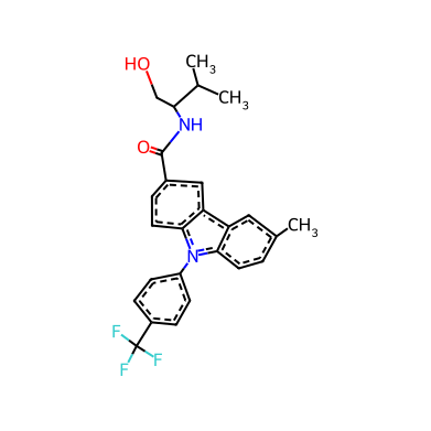 Cc1ccc2c(c1)c1cc(C(=O)NC(CO)C(C)C)ccc1n2-c1ccc(C(F)(F)F)cc1